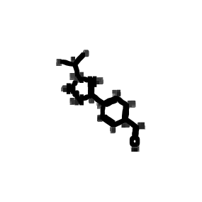 CC(C)n1nnc(-c2ccc(C=O)cc2)n1